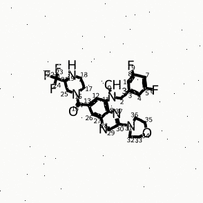 CN(Cc1cc(F)cc(F)c1)c1cc(C(=O)N2CCNC(C(F)(F)F)C2)cc2ncc(N3CCOCC3)nc12